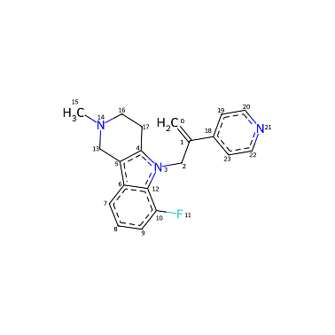 C=C(Cn1c2c(c3cccc(F)c31)CN(C)CC2)c1ccncc1